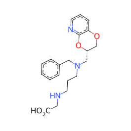 O=C(O)CNCCCN(Cc1ccccc1)C[C@H]1COc2cccnc2O1